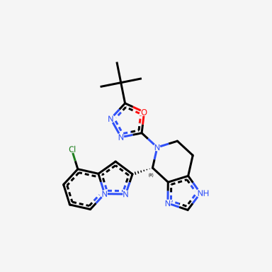 CC(C)(C)c1nnc(N2CCc3[nH]cnc3[C@@H]2c2cc3c(Cl)cccn3n2)o1